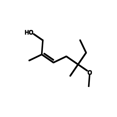 CCC(C)(CC=C(C)CO)OC